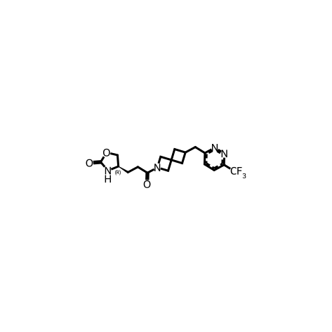 O=C1N[C@H](CCC(=O)N2CC3(CC(Cc4ccc(C(F)(F)F)nn4)C3)C2)CO1